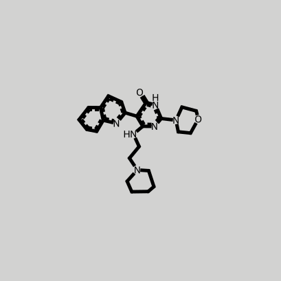 O=c1[nH]c(N2CCOCC2)nc(NCCN2CCCCC2)c1-c1ccc2ccccc2n1